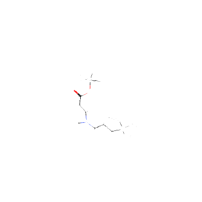 CO[Si](C)(CCCN(C)CCC(=O)O[Si](C)(C)C)OC